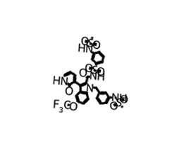 CS(=O)(=O)Nc1cccc(Cn2c(C(=O)NS(=O)(=O)c3cccc(NS(C)(=O)=O)c3)c(-c3ccc[nH]c3=O)c3cc(OC(F)(F)F)ccc32)c1